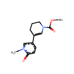 Cn1cc(C2=CN(C(=O)OC(C)(C)C)CCC2)ccc1=O